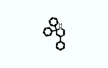 C1=CC(c2ccccc2)=CC(c2ccccc2)(c2ccccc2)N1